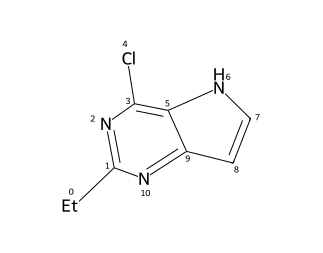 CCc1nc(Cl)c2[nH]ccc2n1